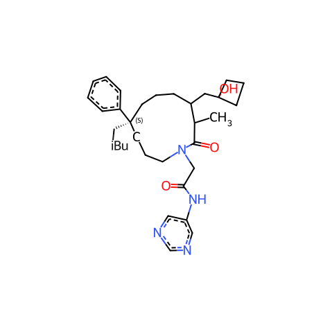 CCC(C)C[C@]1(c2ccccc2)CCCC(CC2(O)CCC2)C(C)C(=O)N(CC(=O)Nc2cncnc2)CCC1